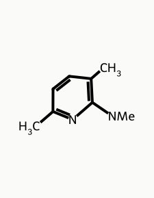 CNc1nc(C)ccc1C